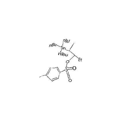 CCC[CH2][Sn]([CH2]CCC)([CH2]CCC)[CH](C)C(CC)OS(=O)(=O)c1ccc(C)cc1